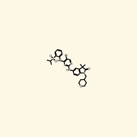 CC(C)S(=O)(=O)c1ccccc1Nc1nc(Nc2ccc3c(c2)C(C)(C)C(=O)N3CC2CCOCC2)ncc1Br